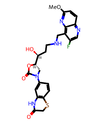 COc1ccc2ncc(F)c(CNCC[C@H](O)[C@@H]3CN(c4ccc5c(c4)NC(=O)CS5)C(=O)O3)c2n1